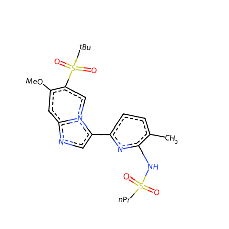 CCCS(=O)(=O)Nc1nc(-c2cnc3cc(OC)c(S(=O)(=O)C(C)(C)C)cn23)ccc1C